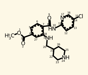 COC(=O)c1ccc(C(=O)Nc2ccc(Cl)cn2)c(NCC2CCNCC2)c1